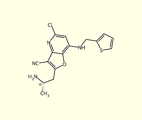 C[C@H](N)Cc1oc2c(NCc3cccs3)cc(Cl)nc2c1C#N